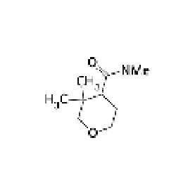 CNC(=O)C1CCOCC1(C)C